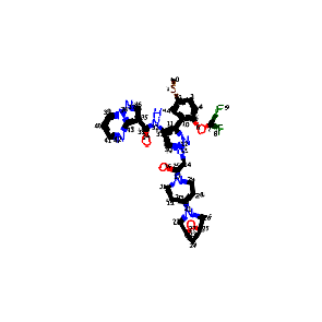 CSc1ccc(OC(F)F)c(-c2nn(CC(=O)N3CCC(N4CC5CC(C4)O5)CC3)cc2NC(=O)c2cnn3cccnc23)c1